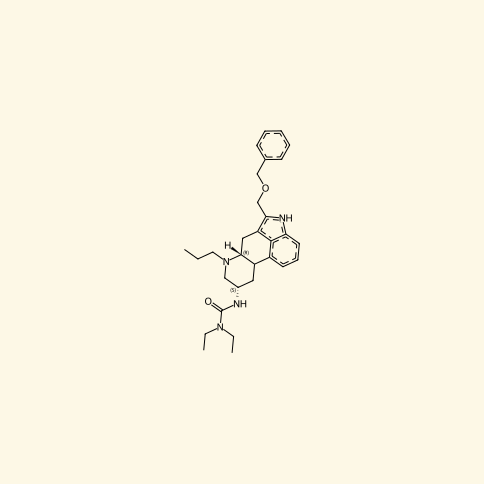 CCCN1C[C@@H](NC(=O)N(CC)CC)CC2c3cccc4[nH]c(COCc5ccccc5)c(c34)C[C@H]21